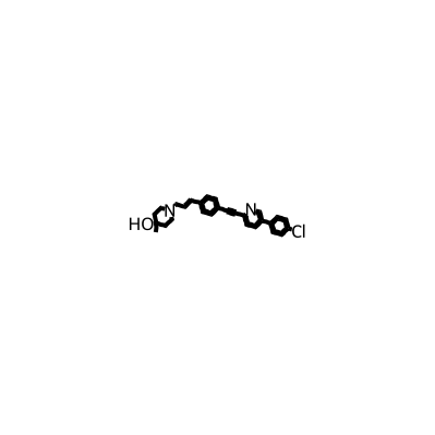 CC1(O)CCN(CC=Cc2ccc(C#Cc3ccc(-c4ccc(Cl)cc4)cn3)cc2)CC1